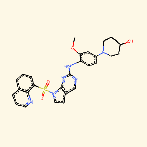 COc1cc(N2CCC(O)CC2)ccc1Nc1ncc2ccn(S(=O)(=O)c3cccc4cccnc34)c2n1